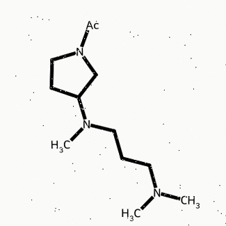 CC(=O)N1CCC(N(C)CCCN(C)C)C1